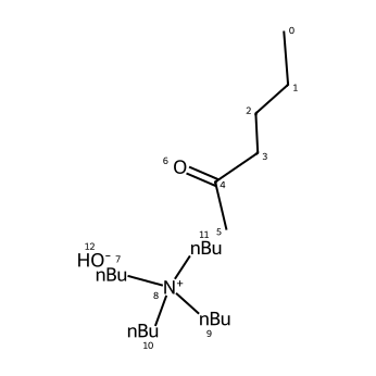 CCCCC(C)=O.CCCC[N+](CCCC)(CCCC)CCCC.[OH-]